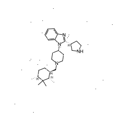 C[C@@H]1CC[C@@H](CN2CCC(n3c([C@@H]4CCNC4)nc4ccccc43)CC2)[C@H](C)C1(C)C